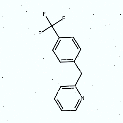 FC(F)(F)c1ccc(Cc2ccccn2)cc1